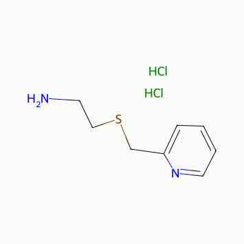 Cl.Cl.NCCSCc1ccccn1